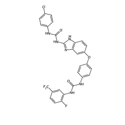 O=C(Nc1ccc(Cl)cc1)Nc1nc2cc(Oc3ccc(NC(=O)Nc4cc(C(F)(F)F)ccc4F)cc3)ccc2[nH]1